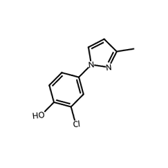 Cc1ccn(-c2ccc(O)c(Cl)c2)n1